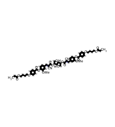 C=CC(=O)OCCCCOc1ccc(C(=O)Oc2ccc(/C=C(\C#N)C(=O)O[C@H]3CO[C@H]4[C@@H]3OC[C@H]4OC(=O)/C(C#N)=C/c3ccc(OC(=O)c4ccc(OCCCCOC(=O)C=C)cc4)c(OC)c3)cc2OC)cc1